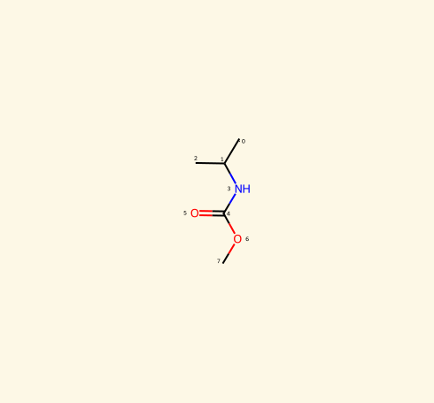 [CH2]C(C)NC(=O)OC